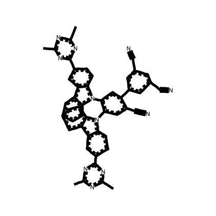 Cc1nc(C)nc(-c2ccc3c(c2)c2ccccc2n3-c2cc(C#N)c(-c3cc(C#N)cc(C#N)c3)cc2-n2c3ccccc3c3cc(-c4nc(C)nc(C)n4)ccc32)n1